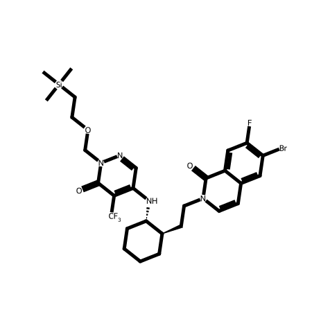 C[Si](C)(C)CCOCn1ncc(N[C@H]2CCCC[C@@H]2CCn2ccc3cc(Br)c(F)cc3c2=O)c(C(F)(F)F)c1=O